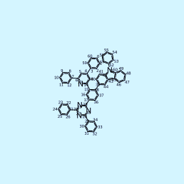 c1ccc(-c2cc(-c3ccccc3)nc(-c3cc(-c4nc(-c5ccccc5)nc(-c5ccccc5)n4)ccc3-c3ccc4c(c3)c3ccccc3n4-c3ccccc3)c2)cc1